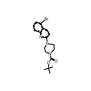 CC(C)(C)OC(=O)N1CCN(c2ccc3c(Br)cccc3n2)CC1